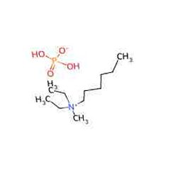 CCCCCC[N+](C)(CC)CC.O=P([O-])(O)O